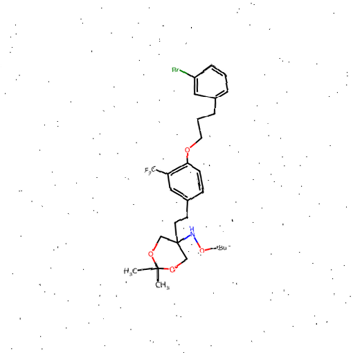 CC(C)(C)ONC1(CCc2ccc(OCCCc3cccc(Br)c3)c(C(F)(F)F)c2)COC(C)(C)OC1